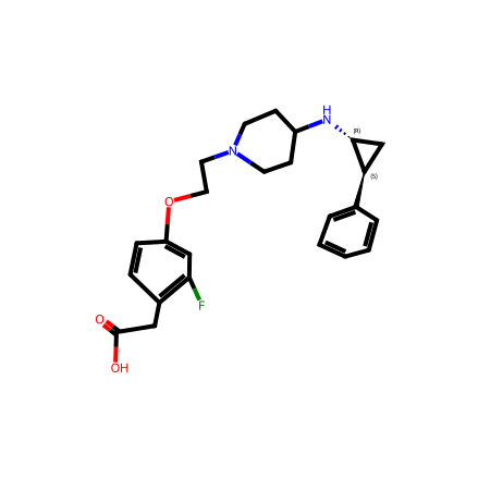 O=C(O)Cc1ccc(OCCN2CCC(N[C@@H]3C[C@H]3c3ccccc3)CC2)cc1F